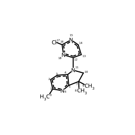 Cc1ccc2c(n1)C(C)(C)CN2c1ccnc(Cl)n1